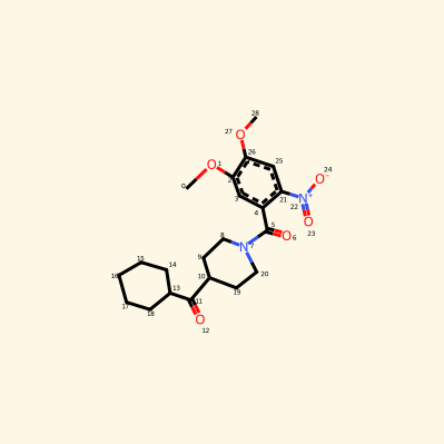 COc1cc(C(=O)N2CCC(C(=O)C3CCCCC3)CC2)c([N+](=O)[O-])cc1OC